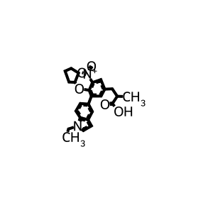 CCn1ccc2cc(-c3cc(CC(C)C(=O)O)cc([N+](=O)[O-])c3OC3CCCC3)ccc21